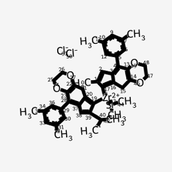 CC1=CC2=C(c3cc(C)cc(C)c3)C3=C(CC2=[C]1[Zr+2]([C]1=C2CC4=C(OCCO4)C(c4cc(C)cc(C)c4)=C2C=C1C(C)C)=[Si](C)C)OCCO3.[Cl-].[Cl-]